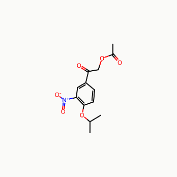 CC(=O)OCC(=O)c1ccc(OC(C)C)c([N+](=O)[O-])c1